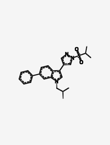 CC(C)Cn1cc(-c2cnn(S(=O)(=O)C(C)C)c2)c2ccc(-c3ccccc3)cc21